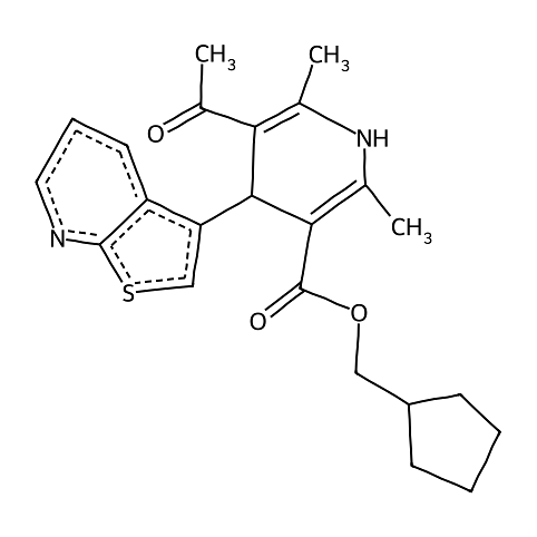 CC(=O)C1=C(C)NC(C)=C(C(=O)OCC2CCCC2)C1c1csc2ncccc12